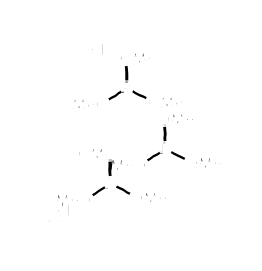 COP(OC)OC.COP(OC)OC.COP(OC)OC.[Cl-].[Cl-].[Fe+2]